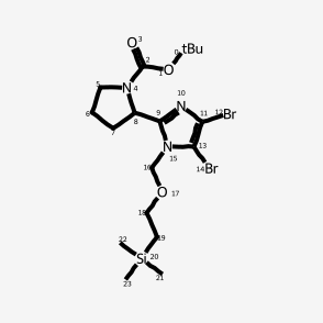 CC(C)(C)OC(=O)N1CCCC1c1nc(Br)c(Br)n1COCC[Si](C)(C)C